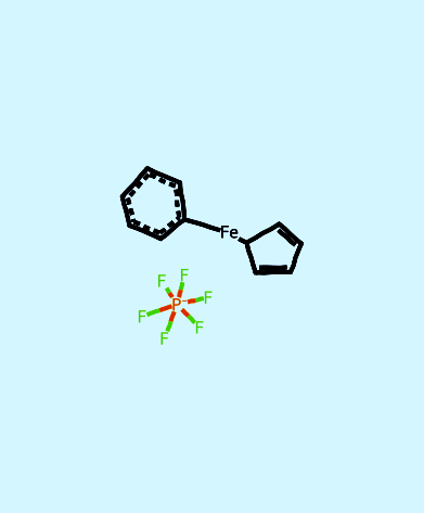 C1=C[CH]([Fe][c]2ccccc2)C=C1.F[P-](F)(F)(F)(F)F